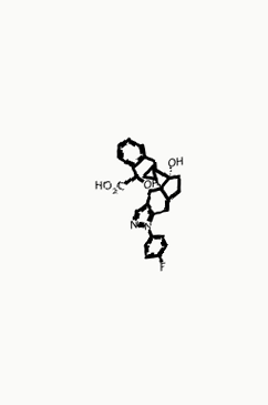 O=C(O)C(O)c1ccccc1CC[C@@]1(O)CCC2=Cc3c(cnn3-c3ccc(F)cc3)C[C@@]21C1CC1